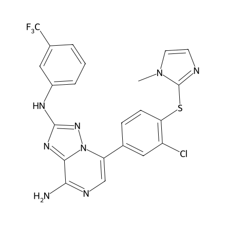 Cn1ccnc1Sc1ccc(-c2cnc(N)c3nc(Nc4cccc(C(F)(F)F)c4)nn23)cc1Cl